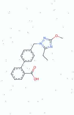 CCc1nc(OC)nn1Cc1ccc(-c2ccccc2C(=O)O)cc1